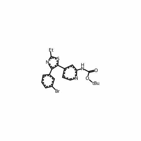 CCc1nc(-c2cccc(Br)c2)c(-c2ccnc(NC(=O)OC(C)(C)C)c2)s1